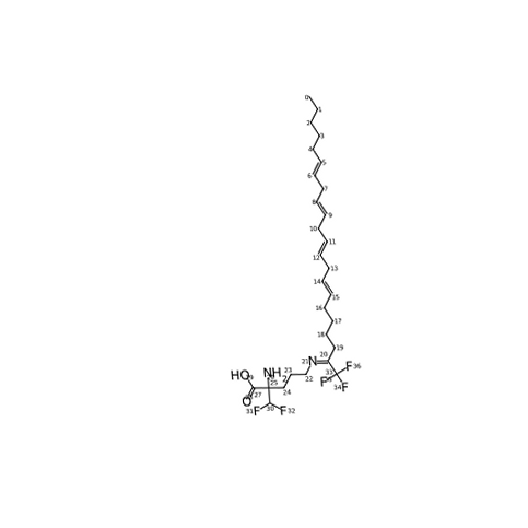 CCCCCC=CCC=CCC=CCC=CCCCCC(=NCCCC(N)(C(=O)O)C(F)F)C(F)(F)F